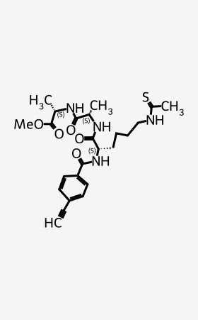 C#Cc1ccc(C(=O)N[C@@H](CCCCNC(C)=S)C(=O)N[C@@H](C)C(=O)N[C@@H](C)C(=O)OC)cc1